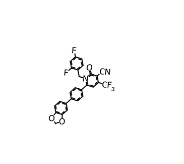 N#Cc1c(C(F)(F)F)cc(-c2ccc(-c3ccc4c(c3)OCO4)cc2)n(Cc2ccc(F)cc2F)c1=O